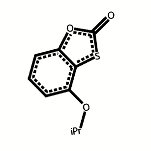 CC(C)Oc1cccc2oc(=O)sc12